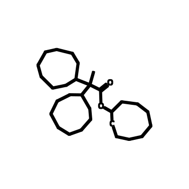 CC(C(=O)OC1CCCCCCCC1)(C1CCCCCCCC1)C1CCCCCCCC1